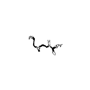 CC(C)CCN(C)CCNC(=O)C(C)C